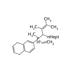 C=C[PH](C)(c1ccc2c(c1)CC=CC2)C(CCCCCCC)C(C)=C(C)C